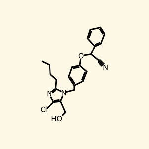 CCCCc1nc(Cl)c(CO)n1Cc1ccc(OC(C#N)c2ccccc2)cc1